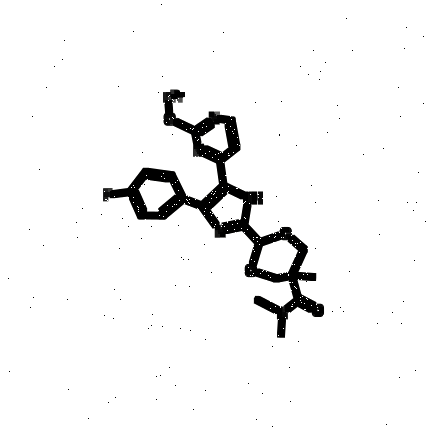 CCCOc1nccc(-c2[nH]c(C3OCC(C)(C(=O)N(C)C)CO3)nc2-c2ccc(F)cc2)n1